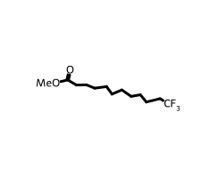 COC(=O)CCCCCCCCCCC(F)(F)F